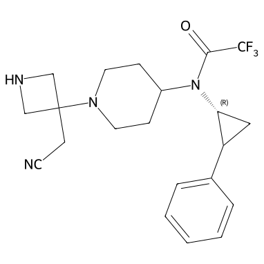 N#CCC1(N2CCC(N(C(=O)C(F)(F)F)[C@@H]3CC3c3ccccc3)CC2)CNC1